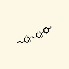 CCC[C@H]1CO[C@H](CC[C@H]2CO[C@H](c3ccc(F)cc3)OC2)OC1